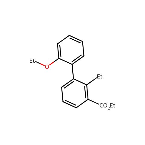 CCOC(=O)c1cccc(-c2ccccc2OCC)c1CC